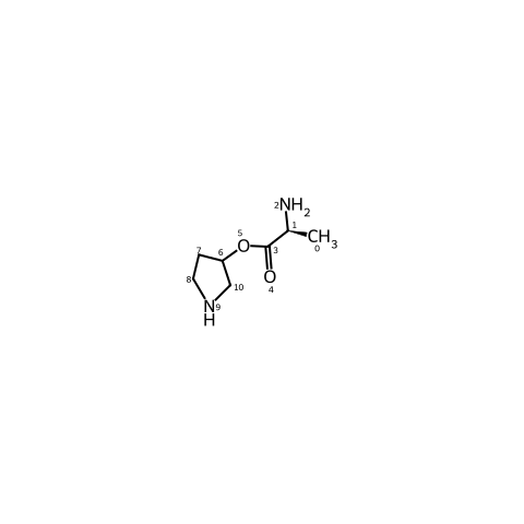 C[C@H](N)C(=O)OC1CCNC1